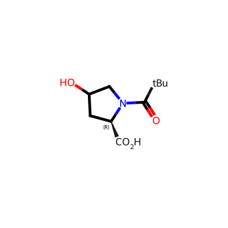 CC(C)(C)C(=O)N1CC(O)C[C@@H]1C(=O)O